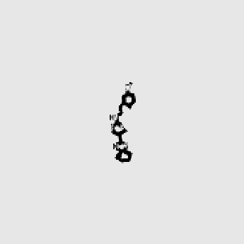 COc1cccc(CCNc2n[c]c(-c3nc4ccccc4s3)cn2)c1